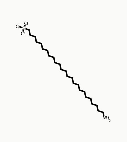 NCCCCCCCCCCCCCCCCCCCCCCCCC[Si](Cl)(Cl)Cl